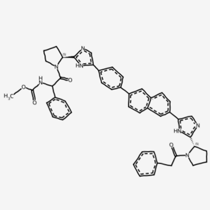 COC(=O)NC(C(=O)N1CCC[C@H]1c1ncc(-c2ccc(-c3ccc4cc(-c5cnc([C@@H]6CCCN6C(=O)Cc6ccccc6)[nH]5)ccc4c3)cc2)[nH]1)c1ccccc1